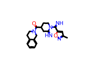 Cc1cc(C(=N)N2CCC(C(=O)N3CCc4ccccc4C3)CC2=N)on1